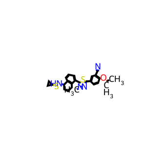 CC(C)Oc1ccc(C2=NN(C)C(c3cccc4c3CCCC4NSC3CC3)S2)cc1C#N